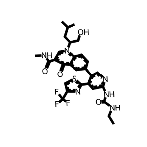 CCNC(=O)Nc1cc(-c2nc(C(F)(F)F)cs2)c(-c2ccc3c(c2)c(=O)c(C(=O)NC)cn3C(CO)CC(C)C)cn1